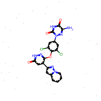 Nc1nn(-c2cc(Cl)c(Oc3n[nH]c(=O)cc3-c3cc4ccccn4n3)c(Cl)c2)c(=O)[nH]c1=O